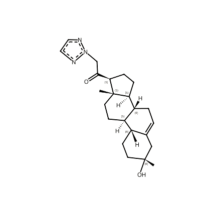 C[C@@]1(O)CC[C@H]2C(=CC[C@@H]3[C@@H]2CC[C@]2(C)[C@@H](C(=O)Cn4nccn4)CC[C@@H]32)C1